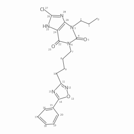 CCCn1c(=O)n(CCCCc2noc(-c3ccccc3)n2)c(=O)c2[nH]c(Cl)nc21